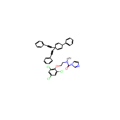 C(#CC1(C#Cc2ccccc2)C=CC(c2ccccc2)C=C1)c1ccccc1.CCCN(CCOc1c(Cl)cc(Cl)cc1Cl)C(=O)n1ccnc1